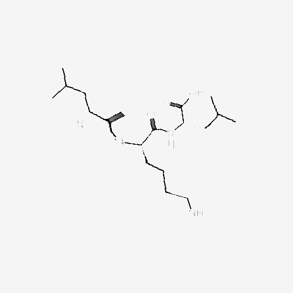 CC(C)C[C@@H](N)C(=O)N[C@H](CCCCN)C(=O)N[C@@H](CC(C)C)C(=O)O